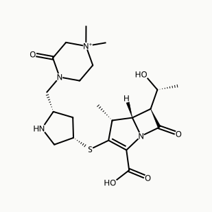 C[C@@H](O)[C@H]1C(=O)N2C(C(=O)O)=C(S[C@@H]3CN[C@H](CN4CC[N+](C)(C)CC4=O)C3)[C@H](C)[C@H]12